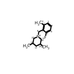 Cc1cccc(F)c1CN1CC(C)CC(C)C1